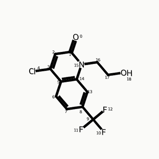 O=c1cc(Cl)c2ccc(C(F)(F)F)cc2n1CCO